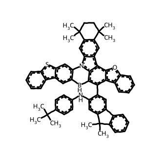 CC(C)(C)c1ccc(Nc2cc3c(cc2-c2c4c5c(c6cc7c(cc6n5-c5cc6sc8ccccc8c6cc5B4)C(C)(C)CCC7(C)C)c4oc5ccccc5c24)-c2ccccc2C3(C)C)cc1